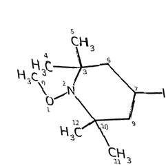 CON1C(C)(C)CC(I)CC1(C)C